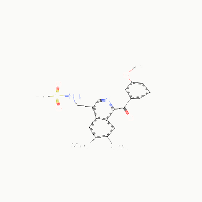 CCC(C)Oc1cccc(C(=O)c2ncc(CNS(=O)(=O)C(F)(F)F)c3cc(OC)c(OC)cc23)c1